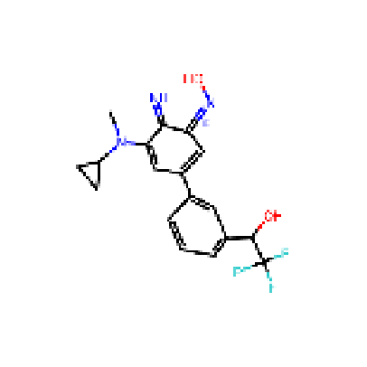 CN(C1=CC(c2cccc(C(O)C(F)(F)F)c2)=C/C(=N/O)C1=N)C1CC1